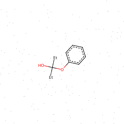 CCC(O)(CC)Oc1ccccc1